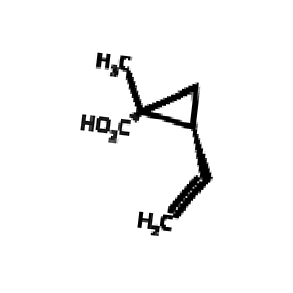 C=C[C@@H]1C[C@]1(C)C(=O)O